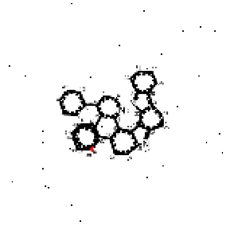 c1ccc(-c2ccnc(-c3c(-c4ccccc4)ccc4c3-c3c5c(ccc3=N4)=c3ccccc3=N5)c2-c2ccccc2)cc1